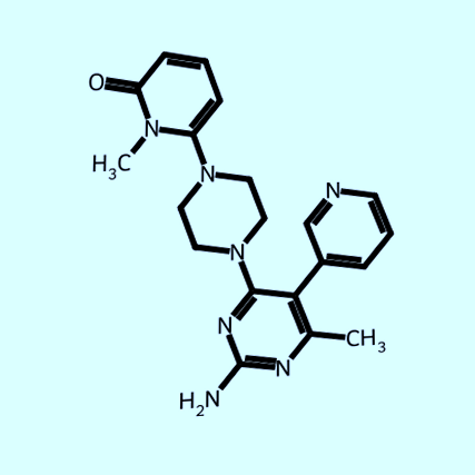 Cc1nc(N)nc(N2CCN(c3cccc(=O)n3C)CC2)c1-c1cccnc1